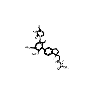 COc1c(C(C)(C)C)cc(-n2ccc(=O)[nH]c2=O)c(F)c1-c1ccc2c(c1)CCC2(F)CNS(C)(=O)=O